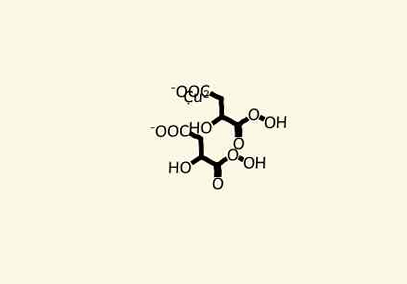 O=C([O-])CC(O)C(=O)OO.O=C([O-])CC(O)C(=O)OO.[Cu+2]